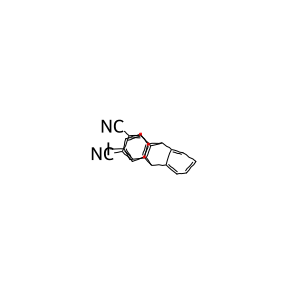 N#Cc1ccc2c(c1)C1c3ccccc3C2c2cc(C#N)c(I)cc21